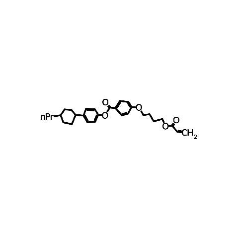 C=CC(=O)OCCCCOc1ccc(C(=O)Oc2ccc(C3CCC(CCC)CC3)cc2)cc1